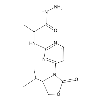 CC(Nc1nccc(N2C(=O)OCC2C(C)C)n1)C(=O)NN